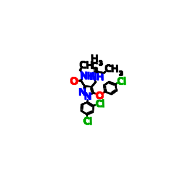 CCNC(=O)c1nn(-c2ccc(Cl)cc2Cl)c(Oc2ccc(Cl)cc2)c1CNC(C)CC